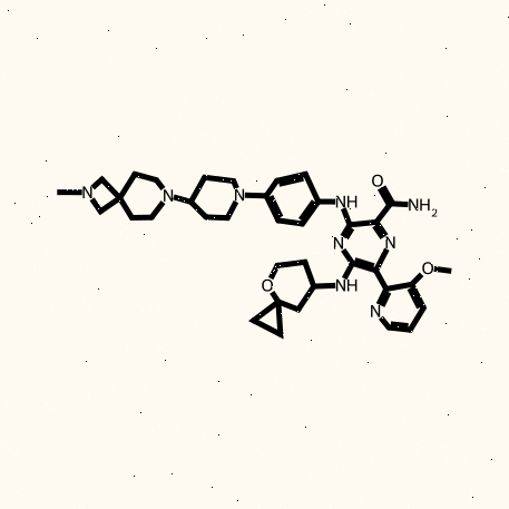 COc1cccnc1-c1nc(C(N)=O)c(Nc2ccc(N3CCC(N4CCC5(CC4)CN(C)C5)CC3)cc2)nc1NC1CCOC2(CC2)C1